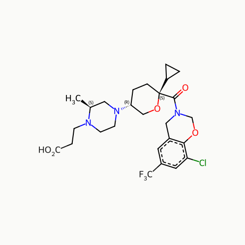 C[C@H]1CN([C@@H]2CC[C@@](C(=O)N3COc4c(Cl)cc(C(F)(F)F)cc4C3)(C3CC3)OC2)CCN1CCC(=O)O